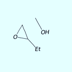 CCC1CO1.CO